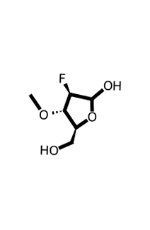 CO[C@H]1[C@H](CO)OC(O)[C@@H]1F